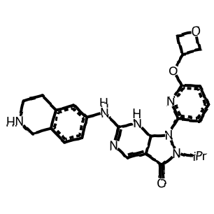 CC(C)N1C(=O)C2=CN=C(Nc3ccc4c(c3)CCNC4)NC2N1c1cccc(OC2COC2)n1